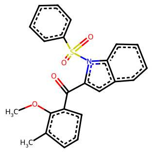 COc1c(C)cccc1C(=O)c1cc2ccccc2n1S(=O)(=O)c1ccccc1